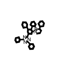 C1=CN2B(C(c3ccccc3)=C1)c1ccccc1-c1c(-c3ccccc3)cc(-c3nc(-c4ccccc4)nc(-c4ccccc4)n3)cc12